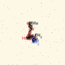 C=CCn1c(=O)n([C@@H]2O[C@H](CO)[C@H]3OC(COCCOC(=O)c4ccc(C(=O)NC)cc4)O[C@H]32)c2cc(N)[nH]c(=O)c21